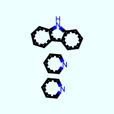 c1ccc2c(c1)[nH]c1ccccc12.c1ccncc1.c1ccncc1